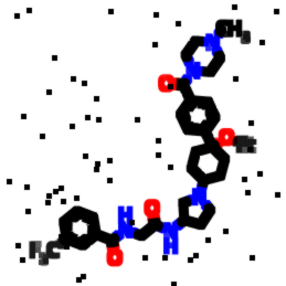 CCOC1(c2ccc(C(=O)N3CCN(C)CC3)cc2)CCC(N2CCC(NC(=O)CNC(=O)c3cccc(C(F)(F)F)c3)C2)CC1